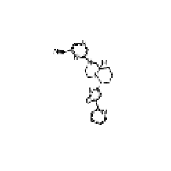 N#Cc1cncc(N2CCN3[C@@H](CCC[C@@H]3c3cc(-c4ccccn4)on3)C2)n1